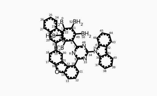 Bc1c(B)c(B)c(-c2nc(-c3cccc4oc5ccc(-c6ccc7ccccc7c6)cc5c34)nc(-n3c4ccccc4c4ccccc43)n2)c(B)c1B